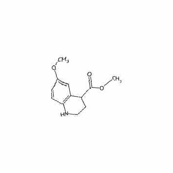 COC(=O)C1CCNc2ccc(OC)cc21